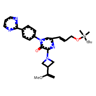 C=C(OC)C1CN(c2nc(/C=C/CO[Si](C)(C)C(C)(C)C)cn(-c3ccc(-c4ncccn4)cc3)c2=O)C1